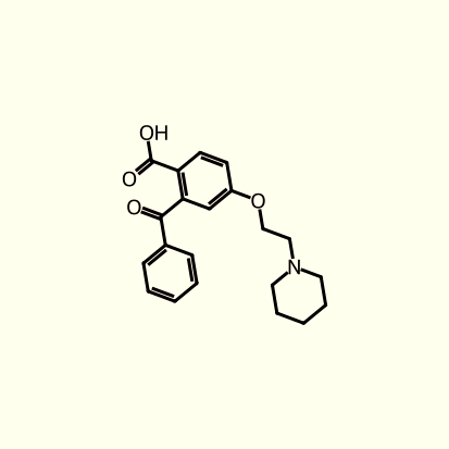 O=C(O)c1ccc(OCCN2CCCCC2)cc1C(=O)c1ccccc1